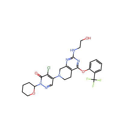 O=c1c(Cl)c(N2CCc3c(nc(NCCO)nc3Oc3ccccc3C(F)(F)F)C2)cnn1C1CCCCO1